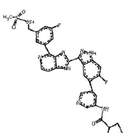 CS(=O)(=O)NCc1cc(F)cc(-c2nccc3[nH]c(-c4n[nH]c5cc(F)c(-c6cncc(NC(=O)C7CCCC7)c6)cc45)nc23)c1